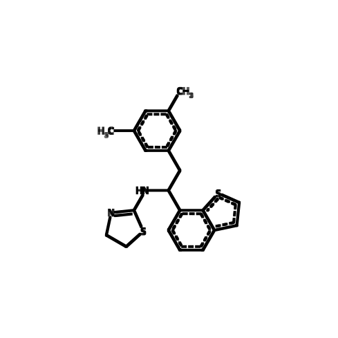 Cc1cc(C)cc(CC(NC2=NCCS2)c2cccc3ccsc23)c1